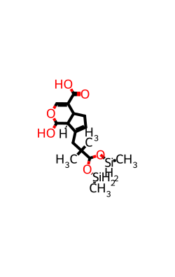 C[SiH2]OC(O[SiH2]C)C(C)(C)CC1=CCC2C(C(=O)O)=COC(O)[C@H]12